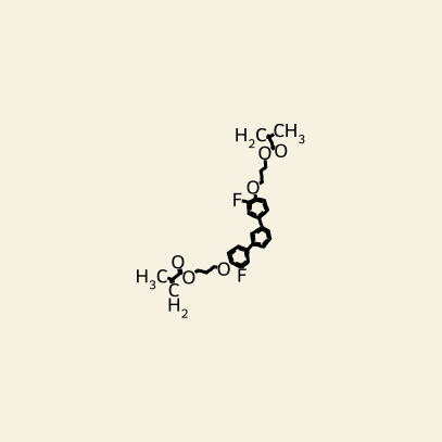 C=C(C)C(=O)OCCCOc1ccc(-c2cccc(-c3ccc(OCCCOC(=O)C(=C)C)c(F)c3)c2)cc1F